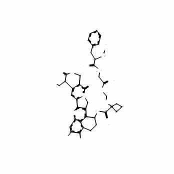 CCC1C(=O)OCc2c1cc1n(c2=O)Cc2c-1nc1cc(F)c(C)c3c1c2C(NC(=O)C1(OCNC(=O)CNC(=O)C(Cc2ccccc2)NC)CCC1)CC3